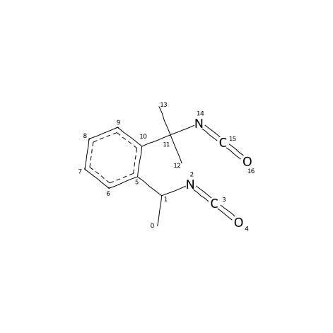 CC(N=C=O)c1ccccc1C(C)(C)N=C=O